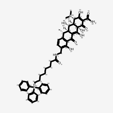 C[C@H]1c2ccc(CNC(=O)CCCCCCC[PH](c3ccccc3)(c3ccccc3)c3ccccc3)c(O)c2C(=O)C2=C(O)[C@]3(O)C(=O)C(C(N)=O)=C(O)[C@@H](N(C)C)[C@@H]3[C@@H](O)[C@@H]21